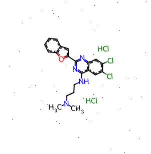 CN(C)CCCNc1nc(-c2cc3ccccc3o2)nc2cc(Cl)c(Cl)cc12.Cl.Cl